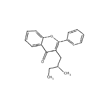 CCC(C)Cc1c(-c2ccccc2)oc2ccccc2c1=O